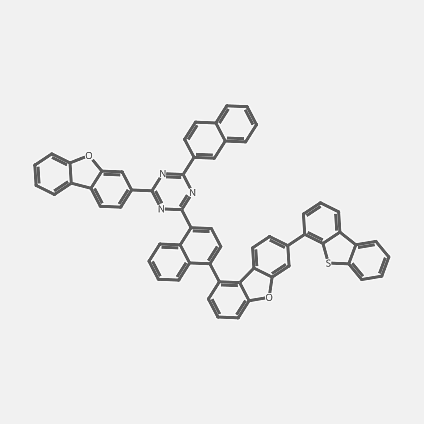 c1ccc2cc(-c3nc(-c4ccc5c(c4)oc4ccccc45)nc(-c4ccc(-c5cccc6oc7cc(-c8cccc9c8sc8ccccc89)ccc7c56)c5ccccc45)n3)ccc2c1